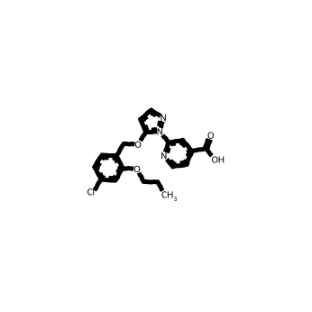 CCCOc1cc(Cl)ccc1COc1ccnn1-c1cc(C(=O)O)ccn1